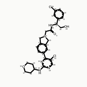 O=C(CN1Cc2ccc(-c3nc(NC4CCOCC4)ncc3Cl)cc2C1)N[C@H](CO)c1cccc(Cl)c1